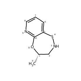 C[C@H]1CNSc2cccnc2O1